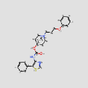 O=C(Nc1ncsc1-c1ccccc1)OC12CC[N+](CCCOc3ccccc3)(CC1)CC2